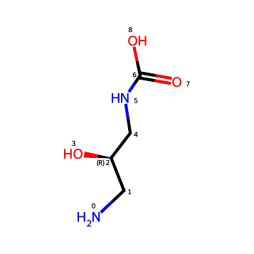 NC[C@@H](O)CNC(=O)O